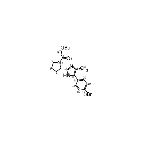 CC(C)(C)OC(=O)N1CCC[C@H]1c1nc(C(F)(F)F)c(-c2ccc(Br)cc2)[nH]1